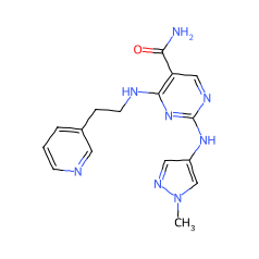 Cn1cc(Nc2ncc(C(N)=O)c(NCCc3cccnc3)n2)cn1